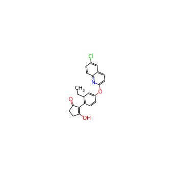 CCc1cc(Oc2ccc3cc(Cl)ccc3n2)ccc1C1=C(O)CCC1=O